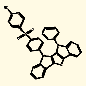 N#Cc1ccc(S(=O)(=O)c2ccc(-n3c4ccccc4c4sc5c6ccccc6n(-c6ccccc6)c5c43)cc2)cc1